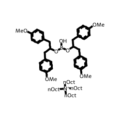 CCCCCCCC[N+](CCCCCCCC)(CCCCCCCC)CCCCCCCC.COc1ccc(CC(Cc2ccc(OC)cc2)OB(O)OC(Cc2ccc(OC)cc2)Cc2ccc(OC)cc2)cc1